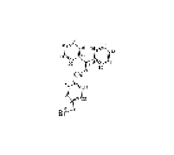 BrCc1ccc(OCC(c2ccccc2)c2ccccc2)cc1